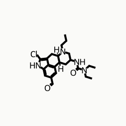 CCCN1CC(NC(=O)N(CC)CC)C[C@@H]2c3cc(C=O)cc4[nH]c(Cl)c(c34)C[C@H]21